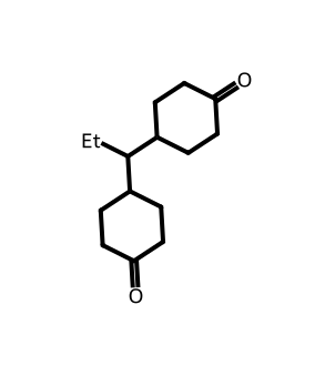 CCC(C1CCC(=O)CC1)C1CCC(=O)CC1